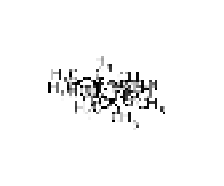 CCC1(CC)C(=O)N(C(C)(C)CC(C)(C)C)CC(C)(C)N1OC(C)(C)C#N